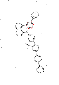 CC1(C)c2cc(-c3ccc(-c4ccccc4)cc3)ccc2-c2ccc(N(c3ccc(C4CC5CCC4C5)cc3)c3cccc4cccc(C5CCCCC5)c34)cc21